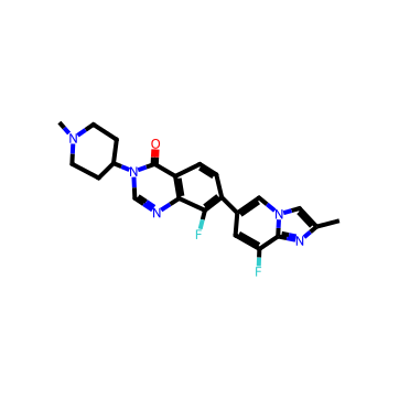 Cc1cn2cc(-c3ccc4c(=O)n(C5CCN(C)CC5)cnc4c3F)cc(F)c2n1